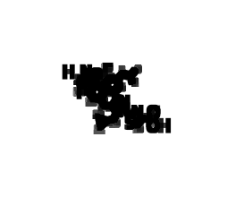 CC(C)=Cc1cc(-c2nn(-c3nc(C(=O)O)cs3)c(CC3CC3)c2Cc2ccc(S(N)(=O)=O)c(F)c2)ccc1F